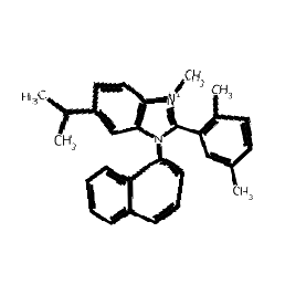 Cc1ccc(C)c(-c2n(-c3cccc4ccccc34)c3cc(C(C)C)ccc3[n+]2C)c1